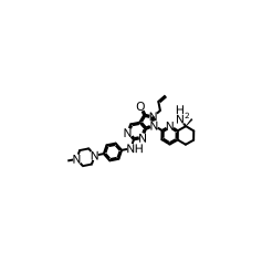 C=CCn1c(=O)c2cnc(Nc3ccc(N4CCN(C)CC4)cc3)nc2n1-c1ccc2c(n1)[C@](C)(N)CCC2